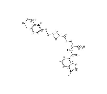 Cn1ncc2c(C(=O)NC(CCOC3CC(CCc4ccc5c(n4)NCCC5)C3)C(=O)O)cccc21